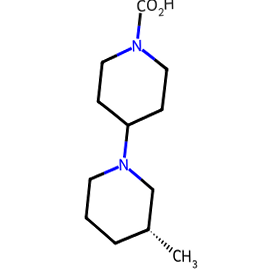 C[C@@H]1CCCN(C2CCN(C(=O)O)CC2)C1